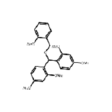 COc1ccc(C(OCc2ccccc2OC)c2ccc(OC)cc2OC)c(OC)c1